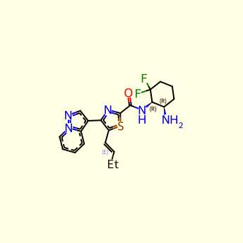 CC/C=C/c1sc(C(=O)N[C@@H]2[C@H](N)CCCC2(F)F)nc1-c1cnn2ccccc12